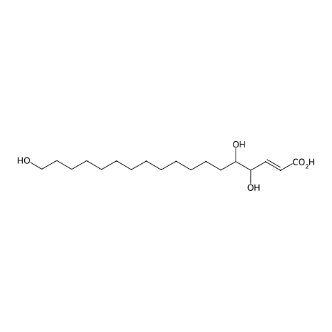 O=C(O)C=CC(O)C(O)CCCCCCCCCCCCCO